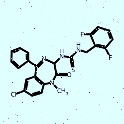 CN1C(=O)C(NC(=S)NCc2c(F)cccc2F)N=C(c2ccccc2)c2cc(Cl)ccc21